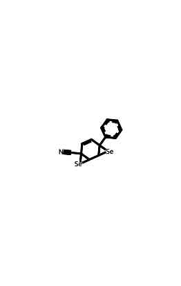 N#CC12C=CC3(c4ccccc4)[Se]C3C1[Se]2